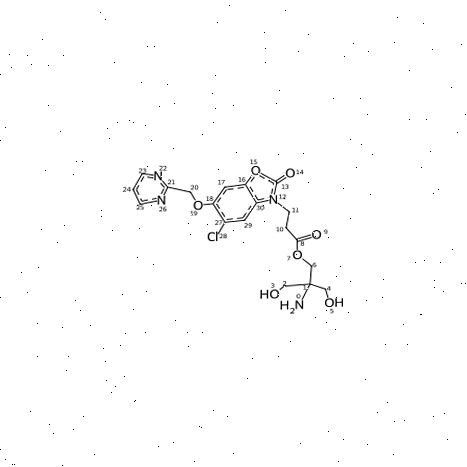 NC(CO)(CO)COC(=O)CCn1c(=O)oc2cc(OCc3ncccn3)c(Cl)cc21